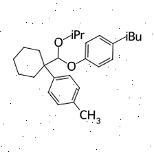 CCC(C)c1ccc(OC(OC(C)C)C2(c3ccc(C)cc3)CCCCC2)cc1